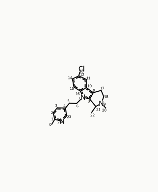 Cc1ccc(CCn2c3c(c4cc(Cl)ccc42)CCN(C)C3C)cn1